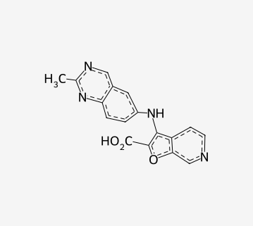 Cc1ncc2cc(Nc3c(C(=O)O)oc4cnccc34)ccc2n1